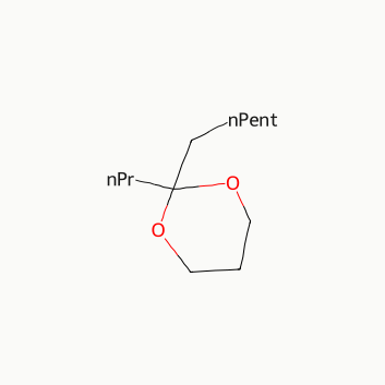 CCCCCCC1(CCC)OCCCO1